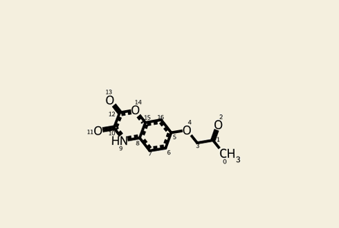 CC(=O)COc1ccc2[nH]c(=O)c(=O)oc2c1